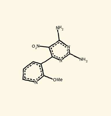 COc1ncccc1-c1nc(N)nc(N)c1[N+](=O)[O-]